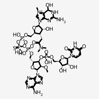 CO[C@@H]1[C@H](OP(=O)(O)OC[C@H]2O[C@@H](n3ccc(=O)[nH]c3=O)[C@H](O)[C@@H]2O)[C@@H](COP(=O)(O)OP(O)(=S)OP(=O)(O)OC[C@H]2O[C@@H](n3c[n+](C)c4c3N=C(N)NC4O)[C@H](O)[C@@H]2CC(=O)N(C)C)O[C@H]1n1cnc2c(N)ncnc21